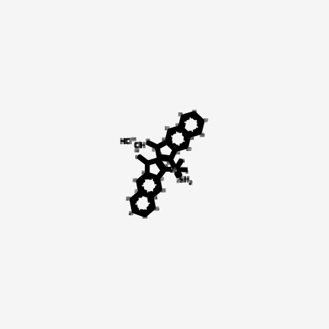 CC1C=[C]([Zr]([CH3])([CH3])(=[SiH2])[C]2=CC(C)c3cc4ccccc4cc32)c2cc3ccccc3cc21.Cl.Cl